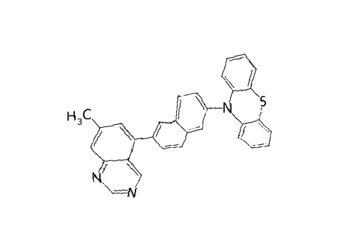 Cc1cc(-c2ccc3cc(N4c5ccccc5Sc5ccccc54)ccc3c2)c2cncnc2c1